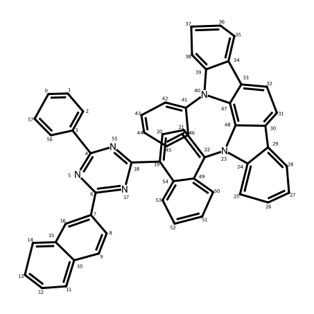 c1ccc(-c2nc(-c3ccc4ccccc4c3)nc(-c3ccc(-n4c5ccccc5c5ccc6c7ccccc7n(-c7ccccc7)c6c54)c4ccccc34)n2)cc1